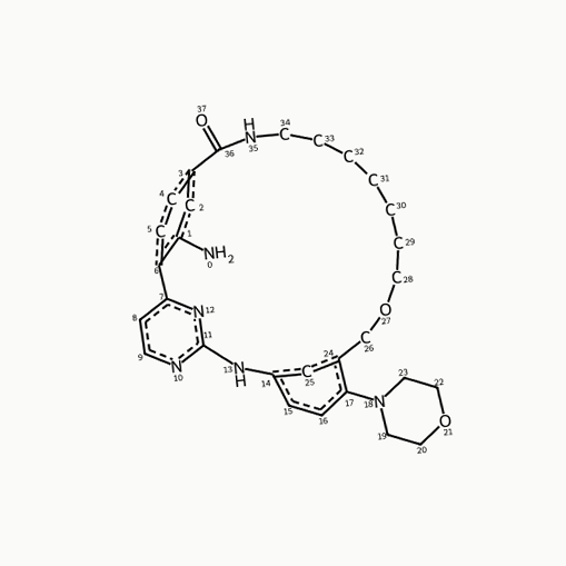 Nc1cc2ccc1-c1ccnc(n1)Nc1ccc(N3CCOCC3)c(c1)COCCCCCCCNC2=O